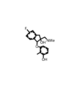 CNCC1(O)Cc2cc(F)ccc2C1Oc1cccc(O)c1C